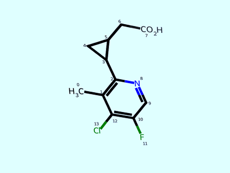 Cc1c(C2CC2CC(=O)O)ncc(F)c1Cl